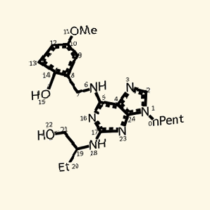 CCCCCn1cnc2c(NCc3cc(OC)ccc3O)nc(NC(CC)CO)nc21